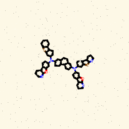 c1ccc2c(c1)sc1cc(N(c3ccc4c(ccc5cc(N(c6ccc7c(c6)oc6ncccc67)c6ccc7c(c6)sc6ncccc67)ccc54)c3)c3ccc4c(c3)oc3ncccc34)ccc12